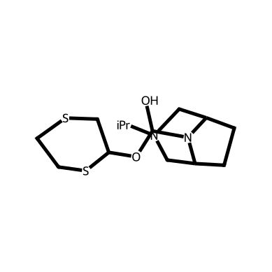 CC(C)N1CC2CCC(C1)N2C(O)OC1CSCCS1